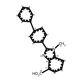 Cn1c(-c2ccc(-c3ccccc3)cc2)nc2c(C(=O)O)cccc21